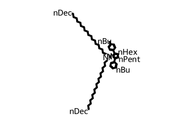 CCCCCCC1=C(c2ccc(CCCC)cc2)[N+](=[N-])C(c2cccc(CCCC)c2)=C1CCCCC.CCCCCCCCCCCCCCCCCCCCCCCCCCCC[CH2][Ni][CH2]CCCCCCCCCCCCCCCCCCCCCCCCCCCC